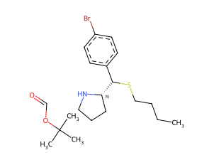 CC(C)(C)OC=O.CCCCSC(c1ccc(Br)cc1)[C@@H]1CCCN1